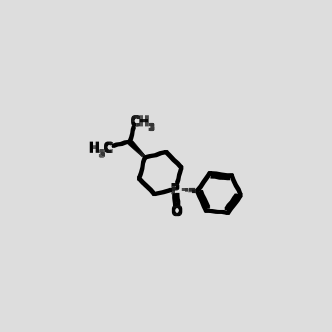 CC(C)[C@H]1CC[P@](=O)(c2ccccc2)CC1